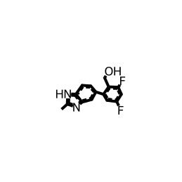 Cc1nc2cc(-c3cc(F)cc(F)c3CO)ccc2[nH]1